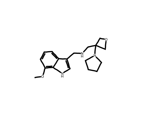 COc1cccc2c(CNCC3(N4CCCC4)COC3)c[nH]c12